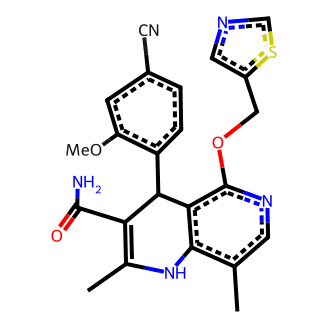 COc1cc(C#N)ccc1C1C(C(N)=O)=C(C)Nc2c(C)cnc(OCc3cncs3)c21